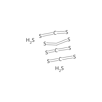 S.S.S=C=S.S=C=S.S=C=S.S=C=S